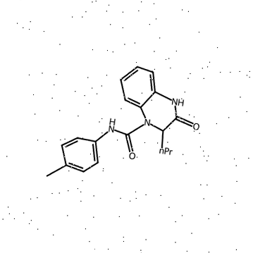 CCCC1C(=O)Nc2ccccc2N1C(=O)Nc1ccc(C)cc1